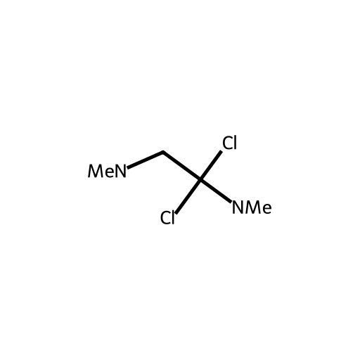 CNCC(Cl)(Cl)NC